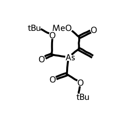 C=C(C(=O)OC)[As](C(=O)OC(C)(C)C)C(=O)OC(C)(C)C